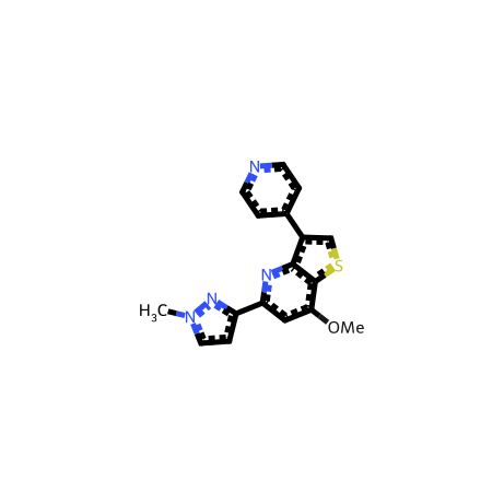 COc1cc(-c2ccn(C)n2)nc2c(-c3ccncc3)csc12